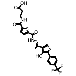 C/C(=N\NC(=O)c1ccc(C(=O)NCCC(=O)O)s1)c1csc(-c2ccc(C(F)(F)F)cc2)c1O